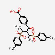 Cc1ccc(S(=O)(=O)C(C)C(C(=O)c2ccc(C(=O)O)cc2)C(C)S(=O)(=O)c2ccc(C)cc2)cc1